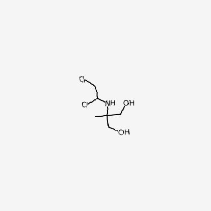 CC(CO)(CO)NC(Cl)CCl